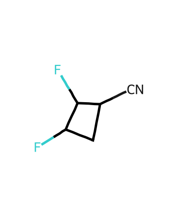 N#CC1CC(F)C1F